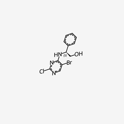 OC[C@@H](Nc1nc(Cl)ncc1Br)c1ccccc1